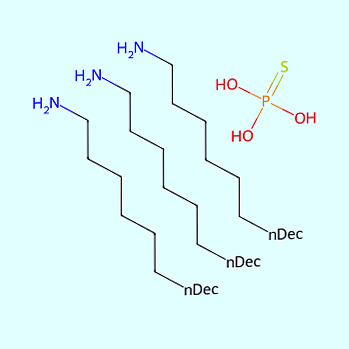 CCCCCCCCCCCCCCCCN.CCCCCCCCCCCCCCCCN.CCCCCCCCCCCCCCCCN.OP(O)(O)=S